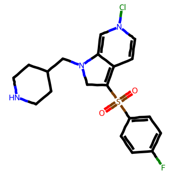 O=S(=O)(C1=C2C=CN(Cl)C=C2N(CC2CCNCC2)C1)c1ccc(F)cc1